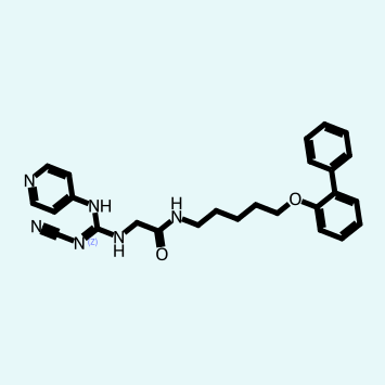 N#C/N=C(/NCC(=O)NCCCCCOc1ccccc1-c1ccccc1)Nc1ccncc1